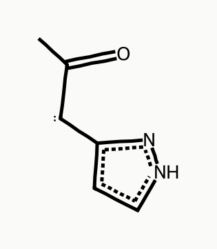 CC(=O)[C]c1cc[nH]n1